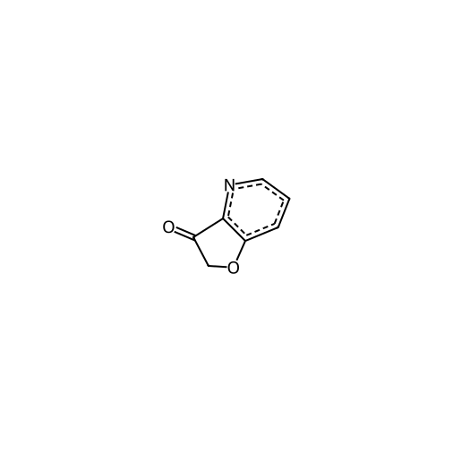 O=C1COc2cccnc21